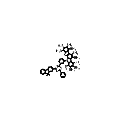 Bc1c(B)c(B)c2c(sc3c2c(B)c(B)c2c4c(B)c(B)c(B)c(B)c4n(-c4cccc(-c5nc(-c6ccccc6)nc(-c6ccc7c(c6)C(C)(C)c6ccccc6-7)n5)c4)c32)c1B